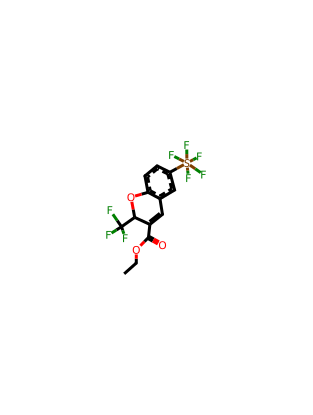 CCOC(=O)C1=Cc2cc(S(F)(F)(F)(F)F)ccc2OC1C(F)(F)F